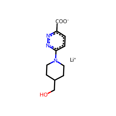 O=C([O-])c1ccc(N2CCC(CO)CC2)nn1.[Li+]